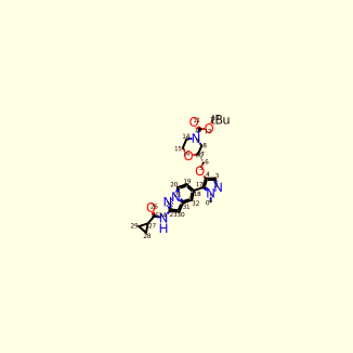 Cn1ncc(OC[C@H]2CN(C(=O)OC(C)(C)C)CCO2)c1-c1ccn2nc(NC(=O)C3CC3)cc2c1